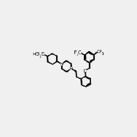 O=C(O)C1CCC(N2CCN(CCc3ccccc3OCc3cc(C(F)(F)F)cc(C(F)(F)F)c3)CC2)CC1